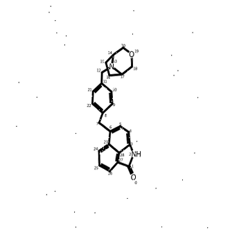 O=C1Nc2ccc(Cc3ccc(CN4C5CCC4COC5)cc3)c3cccc1c23